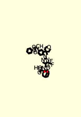 CN(c1ccc2c(c1)C1(CCOCC1)CN2c1ncc(C(=O)NC2(C(=O)O)C3CCC4CC(C3)CC2C4)c(C(F)(F)F)n1)S(=O)(=O)c1ccccc1